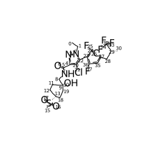 CCn1nc(C(=O)NC[C@]2(O)CC[C@@H](S(C)(=O)=O)CC2)c(Cl)c1-c1c(F)cc(C[C@@H](C)C(F)(F)F)cc1F